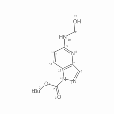 CC(C)(C)OC(=O)n1ncc2nc(NCO)ccc21